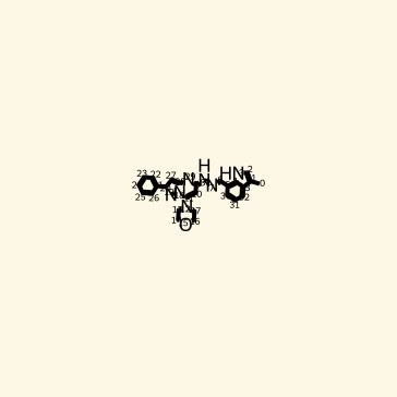 Cc1c[nH]c2c(C=NNc3cc(N4CCOCC4)n4nc(-c5ccccc5)cc4n3)cccc12